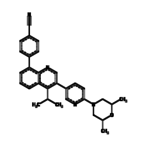 CC1CN(c2ccc(-c3cnc4c(-c5ccc(C#N)cc5)cccc4c3C(C)C)cn2)CC(C)O1